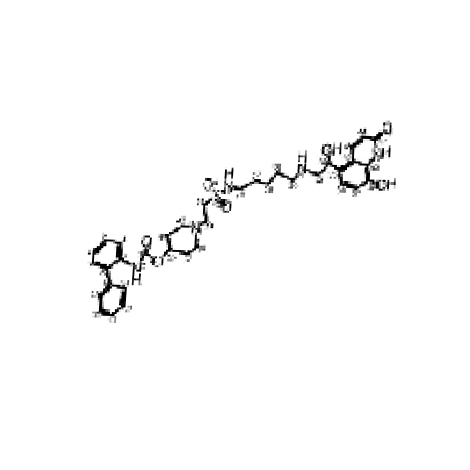 O=C(Nc1ccccc1-c1ccccc1)OC1CCN(CCS(=O)(=O)NCCCCCNC[C@@H](O)c2ccc(O)c3[nH]c(=O)ccc23)CC1